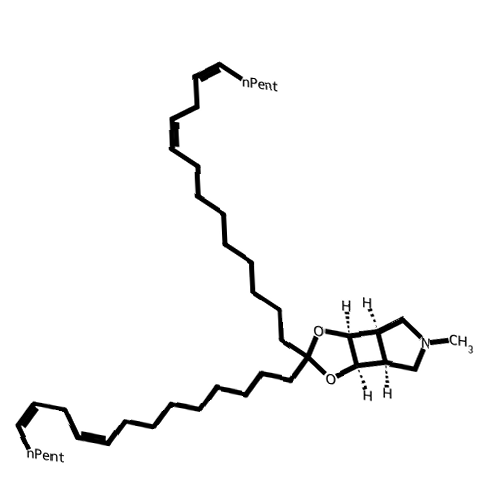 CCCCC/C=C\C/C=C\CCCCCCCCC1(CCCCCCCC/C=C\C/C=C\CCCCC)O[C@@H]2[C@@H]3CN(C)C[C@@H]3[C@@H]2O1